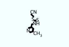 Cc1cncc(CNC(=S)SCCC#N)c1